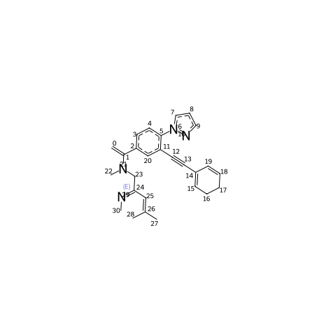 C=C(c1ccc(-n2cccn2)c(C#CC2=CCCC=C2)c1)N(C)C/C(C=C(C)C)=N/C